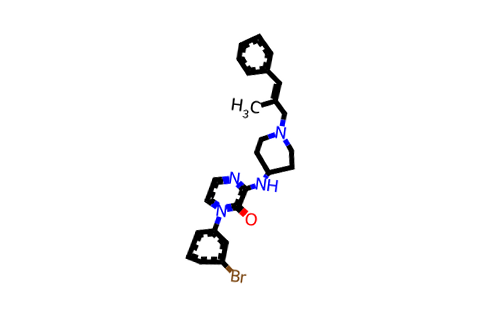 C/C(=C\c1ccccc1)CN1CCC(Nc2nccn(-c3cccc(Br)c3)c2=O)CC1